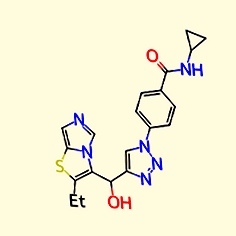 CCc1sc2cncn2c1C(O)c1cn(-c2ccc(C(=O)NC3CC3)cc2)nn1